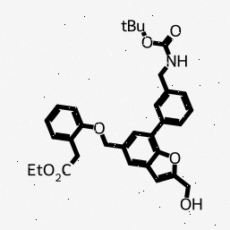 CCOC(=O)Cc1ccccc1OCc1cc(-c2cccc(CNC(=O)OC(C)(C)C)c2)c2oc(CO)cc2c1